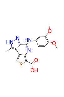 COc1ccc(Nc2nc3c(C(=O)O)scc3c3c(C)[nH]nc23)cc1OC